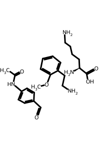 CC(=O)Nc1ccc(C=O)cc1.COc1ccccc1CCN.NCCCC[C@H](N)C(=O)O